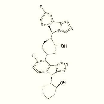 O[C@@H]1CC(c2c(F)ccc3c2-c2cncn2[C@@H]3[C@H]2CCCC[C@@H]2O)CC[C@H]1[C@H]1c2ccc(F)cc2-c2cncn21